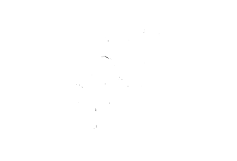 CN(c1cncc(Br)c1)[C@@H](CO)c1ccccc1